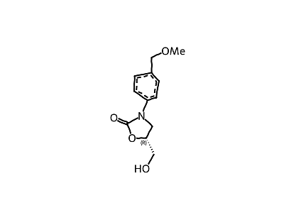 COCc1ccc(N2C[C@H](CO)OC2=O)cc1